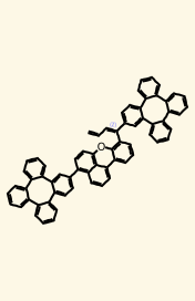 C=C/C=C(/c1ccc2c(c1)-c1ccccc1-c1ccccc1-c1ccccc1-2)c1cccc2c1Oc1ccc(-c3ccc4c(c3)-c3ccccc3-c3ccccc3-c3ccccc3-4)c3cccc-2c13